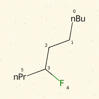 CCCCCCC(F)CCC